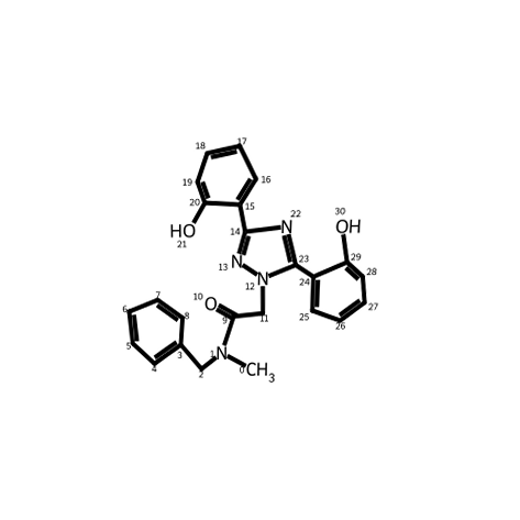 CN(Cc1ccccc1)C(=O)Cn1nc(-c2ccccc2O)nc1-c1ccccc1O